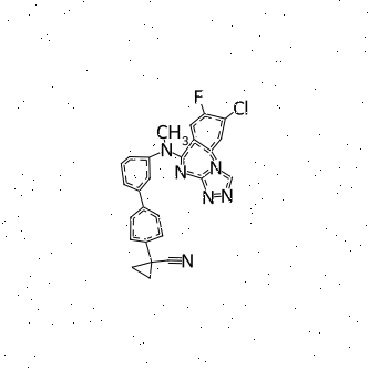 CN(c1cccc(-c2ccc(C3(C#N)CC3)cc2)c1)c1nc2nncn2c2cc(Cl)c(F)cc12